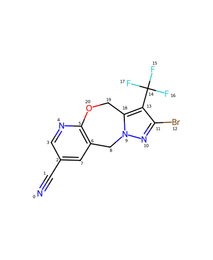 N#Cc1cnc2c(c1)Cn1nc(Br)c(C(F)(F)F)c1CO2